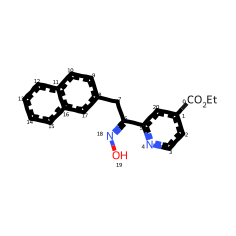 CCOC(=O)c1ccnc(C(Cc2ccc3ccccc3c2)=NO)c1